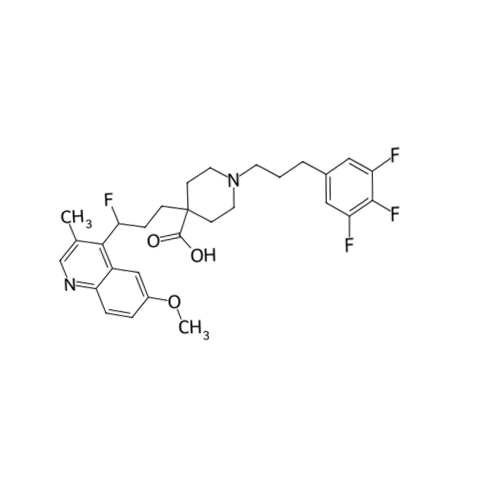 COc1ccc2ncc(C)c(C(F)CCC3(C(=O)O)CCN(CCCc4cc(F)c(F)c(F)c4)CC3)c2c1